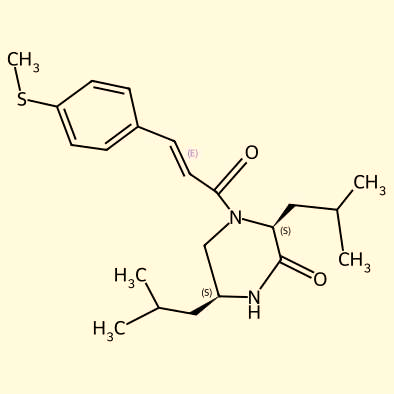 CSc1ccc(/C=C/C(=O)N2C[C@H](CC(C)C)NC(=O)[C@@H]2CC(C)C)cc1